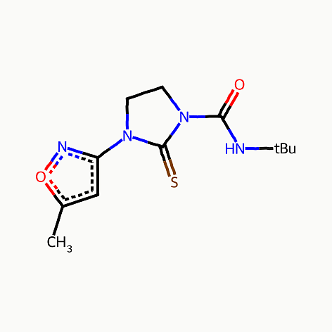 Cc1cc(N2CCN(C(=O)NC(C)(C)C)C2=S)no1